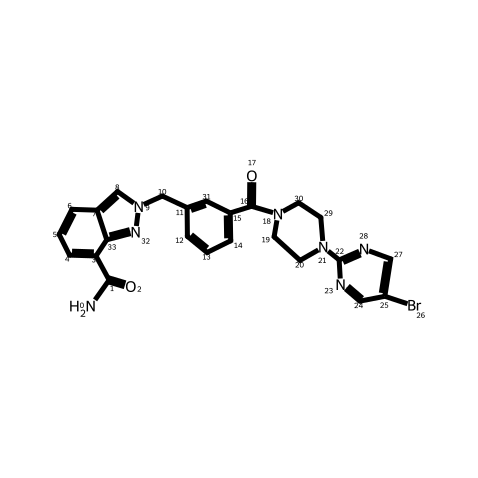 NC(=O)c1cccc2cn(Cc3cccc(C(=O)N4CCN(c5ncc(Br)cn5)CC4)c3)nc12